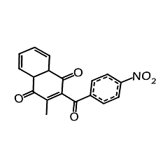 CC1=C(C(=O)c2ccc([N+](=O)[O-])cc2)C(=O)C2C=CC=CC2C1=O